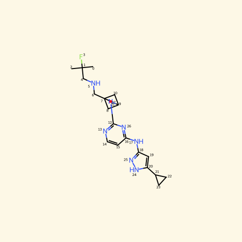 CC(C)(F)CNCC12CC(C1)N(c1nccc(Nc3cc(C4CC4)[nH]n3)n1)C2